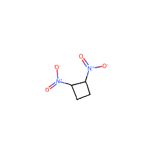 O=[N+]([O-])C1CCC1[N+](=O)[O-]